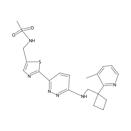 Cc1cccnc1C1(CNc2ccc(-c3ncc(CNS(C)(=O)=O)s3)nn2)CCC1